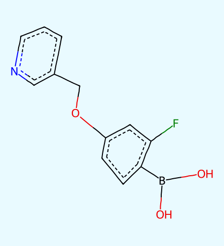 OB(O)c1ccc(OCc2cccnc2)cc1F